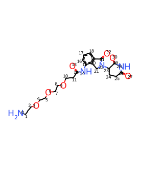 NCCOCCOCCOCCC(=O)Nc1cccc2c1CN(C1CCC(=O)NC1=O)C2=O